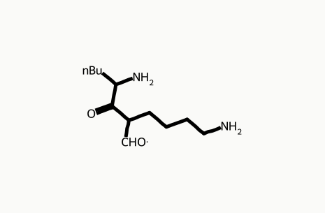 CCCCC(N)C(=O)C([C]=O)CCCCN